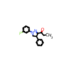 CCC(=O)C1=NN(c2cccc(F)c2)CC1c1ccccc1